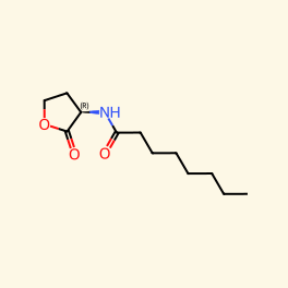 CCCCCCCC(=O)N[C@@H]1CCOC1=O